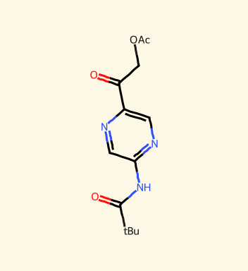 CC(=O)OCC(=O)c1cnc(NC(=O)C(C)(C)C)cn1